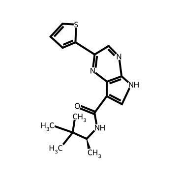 C[C@H](NC(=O)c1c[nH]c2ncc(-c3cccs3)nc12)C(C)(C)C